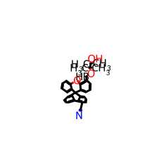 CC(C)(O)C(C)(C)OBc1cccc2c1Oc1ccccc1C21c2ccccc2-c2c(C#N)cccc21